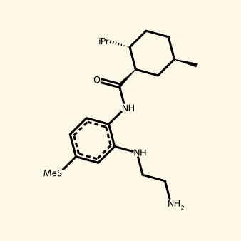 CSc1ccc(NC(=O)[C@@H]2C[C@H](C)CC[C@H]2C(C)C)c(NCCN)c1